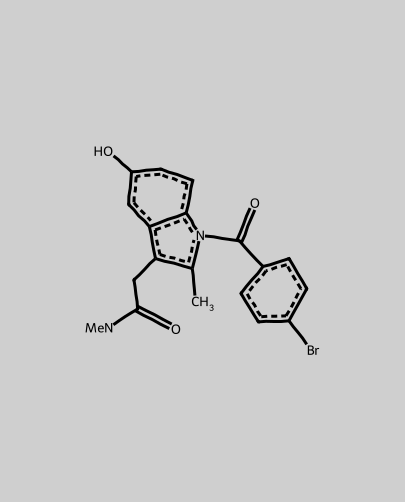 CNC(=O)Cc1c(C)n(C(=O)c2ccc(Br)cc2)c2ccc(O)cc12